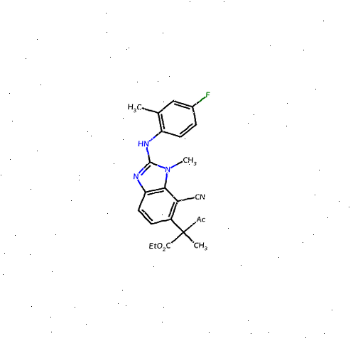 CCOC(=O)C(C)(C(C)=O)c1ccc2nc(Nc3ccc(F)cc3C)n(C)c2c1C#N